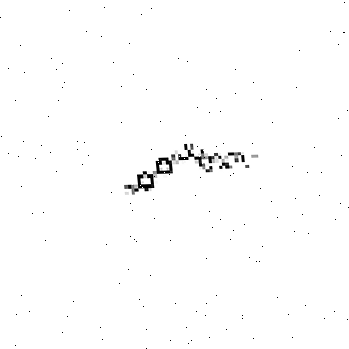 CC(C)(SC1=NC(C(=O)COc2ccc(-c3ccc(Cl)cc3)cc2)CS1)C(=O)O